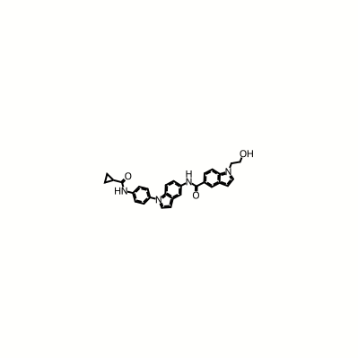 O=C(Nc1ccc2c(ccn2-c2ccc(NC(=O)C3CC3)cc2)c1)c1ccc2c(ccn2CCO)c1